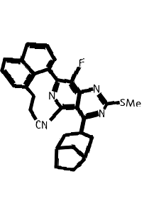 CSc1nc(C2CC3CCC(C3)C2)c2c(C)nc(-c3cccc4cccc(CCC#N)c34)c(F)c2n1